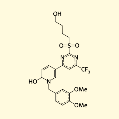 COc1ccc(CN2C=C(c3cc(C(F)(F)F)nc(S(=O)(=O)CCCCO)n3)C=CC2O)cc1OC